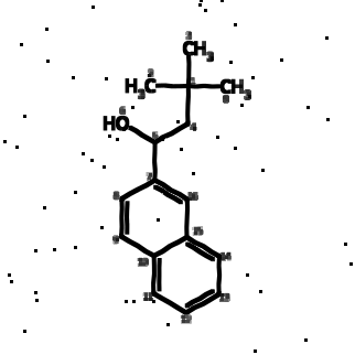 CC(C)(C)CC(O)c1ccc2ccccc2c1